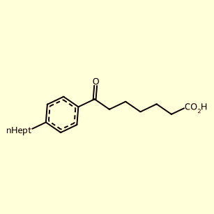 CCCCCCCc1ccc(C(=O)CCCCCC(=O)O)cc1